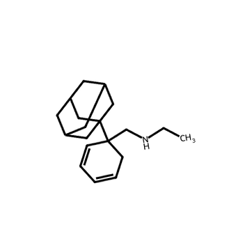 CCNCC1(C23CC4CC(CC(C4)C2)C3)C=CC=CC1